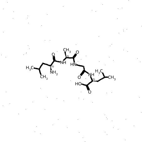 CC(C)C[C@H](NC(=O)CNC(=O)[C@H](C)NC(=O)[C@@H](N)CC(C)C)C(=O)O